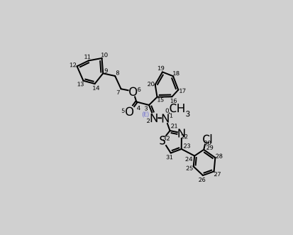 CN(/N=C(/C(=O)OCCc1ccccc1)c1ccccc1)c1nc(-c2ccccc2Cl)cs1